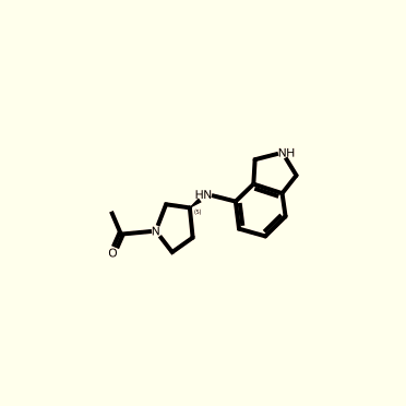 CC(=O)N1CC[C@H](Nc2cccc3c2CNC3)C1